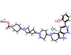 C[C@@H]1c2c([nH]c3nnc(-c4ccccc4O)cc23)CCN1C1CCN(C2CC3(C2)CN(C2CCN(C(=O)OC(C)(C)C)CC2)C3)CC1